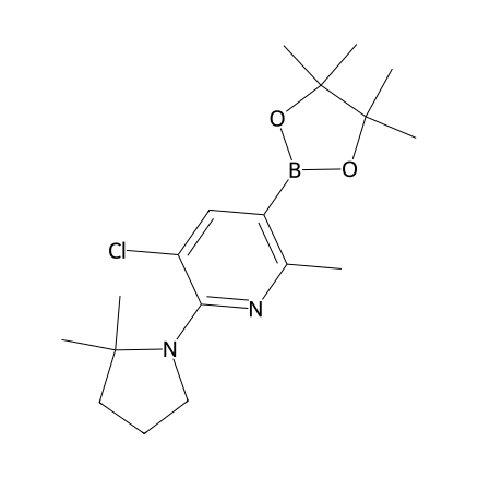 Cc1nc(N2CCCC2(C)C)c(Cl)cc1B1OC(C)(C)C(C)(C)O1